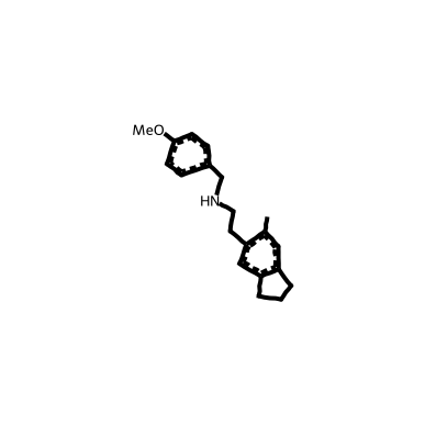 COc1ccc(CNCCc2cc3c(cc2C)CCC3)cc1